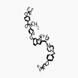 CN(C(=O)c1ccc(OC(F)(F)F)cc1)c1ccc(Oc2ccc3cc(C(=O)N4CCN(Cc5ccc(OCC(F)(F)F)cc5)CC4)n(C)c3c2)nc1